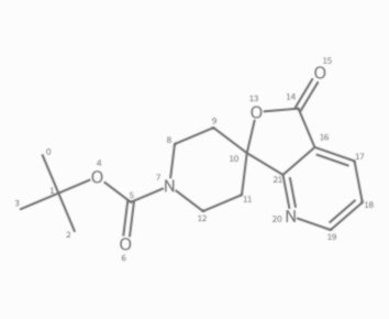 CC(C)(C)OC(=O)N1CCC2(CC1)OC(=O)c1cccnc12